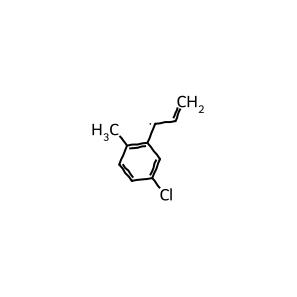 C=C[CH]c1cc(Cl)ccc1C